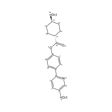 CCCCCCCCc1ccc(-c2ccc(OC(=O)[C@H]3CC[C@H](CCCCCCCC)CC3)cc2)nc1